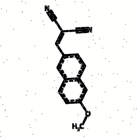 COc1ccc2cc(C=C(C#N)C#N)ccc2c1